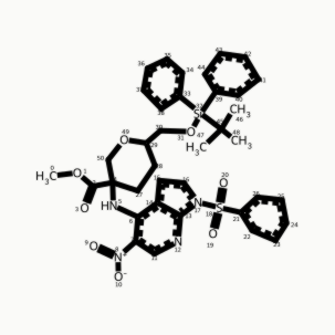 COC(=O)C1(Nc2c([N+](=O)[O-])cnc3c2ccn3S(=O)(=O)c2ccccc2)CCC(CO[Si](c2ccccc2)(c2ccccc2)C(C)(C)C)OC1